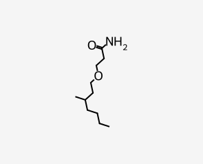 CCCCC(C)CCOCCC(N)=O